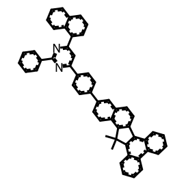 CC1(C)c2c(ccc3cc(-c4ccc(-c5cc(-c6cccc7ccccc67)nc(-c6ccccc6)n5)cc4)ccc23)-c2c1c1ccccc1c1ccccc21